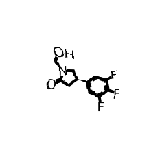 O=C1C[C@H](c2cc(F)c(F)c(F)c2)CN1CO